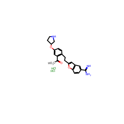 Cl.Cl.N=C(N)c1ccc2oc(CCc3ccc(O[C@H]4CCNC4)cc3C(=O)C(=O)O)cc2c1